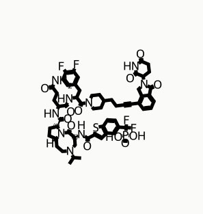 CC(C)N1CC[C@H]2CC[C@@H](C(=O)NC(CCC(N)=O)C(=O)NC(Cc3ccc(F)c(F)c3)C(=O)N3CCC(CCC#Cc4cccc5c4CN(C4CCC(=O)NC4=O)C5=O)CC3)N2C(=O)[C@@H](NC(=O)c2cc3cc(C(F)(F)P(=O)(O)O)ccc3s2)C1